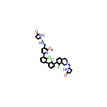 COc1nc(-c2cccc(-c3cccc(-c4ccc5c(c4F)CN(C[C@H]4CCC(=O)N4)CC5)c3Cl)c2Cl)ccc1CNC[C@@H]1CCC(=O)N1